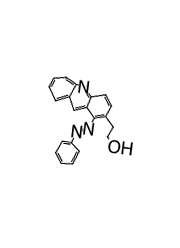 OCCc1ccc2nc3ccccc3cc2c1N=Nc1ccccc1